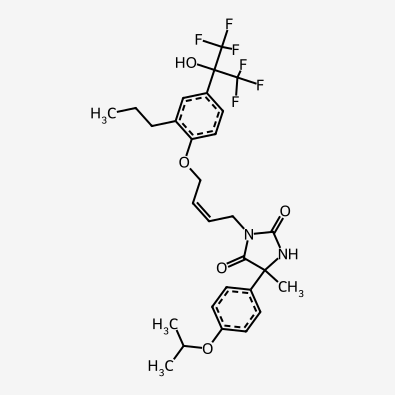 CCCc1cc(C(O)(C(F)(F)F)C(F)(F)F)ccc1OC/C=C\CN1C(=O)NC(C)(c2ccc(OC(C)C)cc2)C1=O